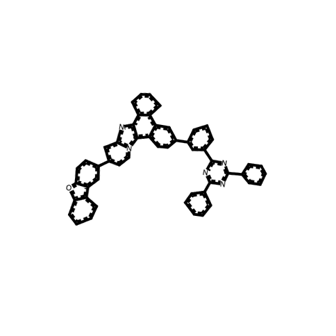 c1ccc(-c2nc(-c3ccccc3)nc(-c3cccc(-c4ccc5c(c4)c4ccccc4c4nc6cc(-c7ccc8oc9ccccc9c8c7)ccn6c54)c3)n2)cc1